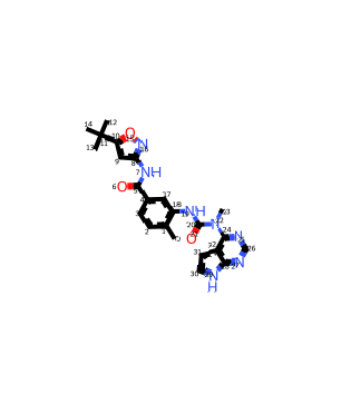 Cc1ccc(C(=O)Nc2cc(C(C)(C)C)on2)cc1NC(=O)N(C)c1ncnc2[nH]ccc12